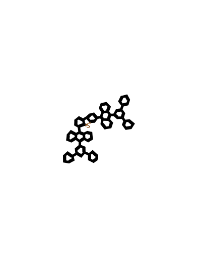 c1ccc(-c2cc(-c3ccccc3)cc(-c3c4ccccc4c(-c4ccc5c(c4)sc4c(-c6c7ccccc7c(-c7cc(-c8ccccc8)cc(-c8ccccc8)c7)c7ccccc67)cccc45)c4ccccc34)c2)cc1